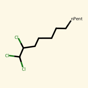 CCCCCCCCCCC(Cl)[C](Cl)Cl